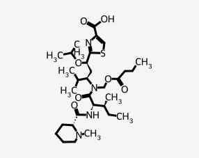 CCCC(=O)OCN(C(=O)[C@@H](NC(=O)[C@H]1CCCCN1C)[C@@H](C)CC)[C@H](C[C@@H](OC(C)C)c1nc(C(=O)O)cs1)C(C)C